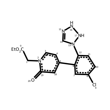 CCOC(=O)Cn1ccc(-c2cc(Cl)ccc2N2C=NNN2)cc1=O